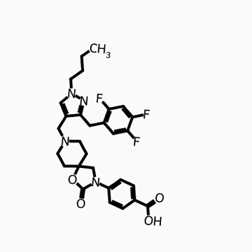 CCCCn1cc(CN2CCC3(CC2)CN(c2ccc(C(=O)O)cc2)C(=O)O3)c(Cc2cc(F)c(F)cc2F)n1